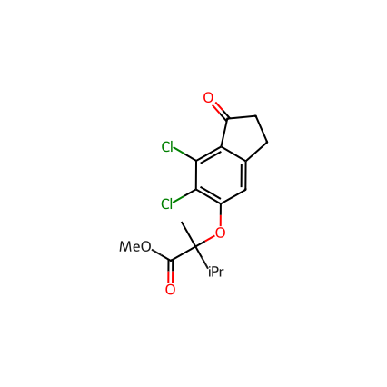 COC(=O)C(C)(Oc1cc2c(c(Cl)c1Cl)C(=O)CC2)C(C)C